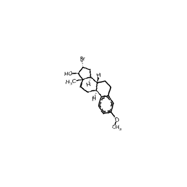 COc1ccc2c(c1)CC[C@@H]1[C@@H]2CC[C@]2(C)[C@@H](O)[C@H](Br)C[C@@H]12